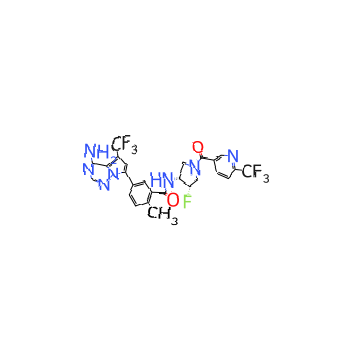 Cc1ccc(-c2cc(C(F)(F)F)c3c(N)ncnn23)cc1C(=O)N[C@@H]1CN(C(=O)c2ccc(C(F)(F)F)nc2)C[C@@H]1F